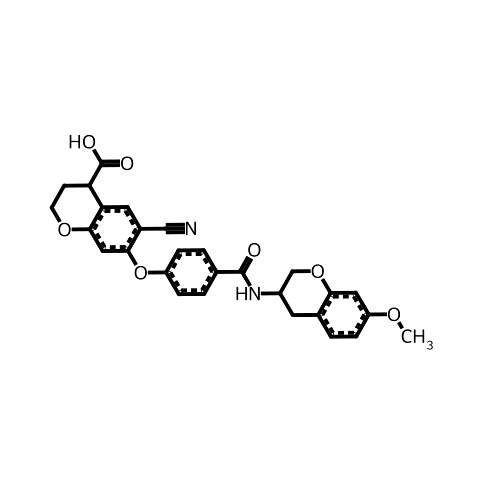 COc1ccc2c(c1)OCC(NC(=O)c1ccc(Oc3cc4c(cc3C#N)C(C(=O)O)CCO4)cc1)C2